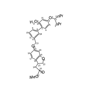 CCCC(CCC)Oc1ccc(-c2cccc(COc3ccc4c(c3)OCC4CC(=O)OC)c2)c(C)c1